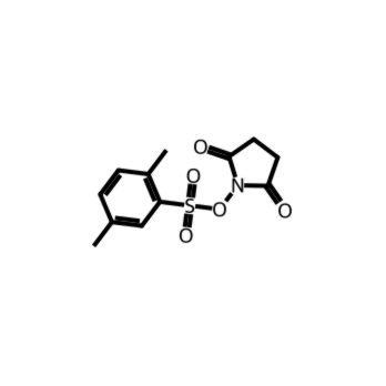 Cc1ccc(C)c(S(=O)(=O)ON2C(=O)CCC2=O)c1